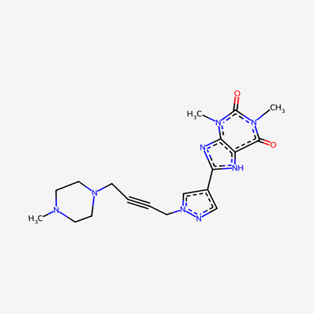 CN1CCN(CC#CCn2cc(-c3nc4c([nH]3)c(=O)n(C)c(=O)n4C)cn2)CC1